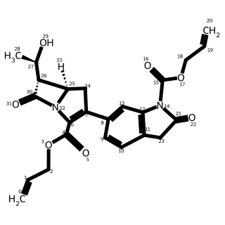 C=CCOC(=O)C1=C(c2ccc3c(c2)N(C(=O)OCC=C)C(=O)C3)C[C@@H]2[C@@H]([C@@H](C)O)C(=O)N12